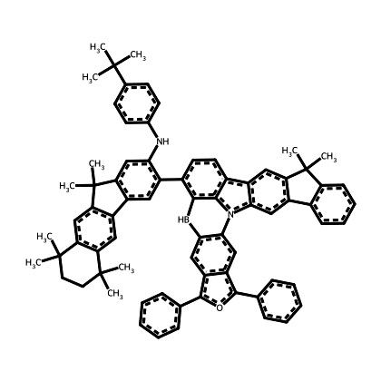 CC(C)(C)c1ccc(Nc2cc3c(cc2-c2ccc4c5cc6c(cc5n5c4c2Bc2cc4c(-c7ccccc7)oc(-c7ccccc7)c4cc2-5)-c2ccccc2C6(C)C)-c2cc4c(cc2C3(C)C)C(C)(C)CCC4(C)C)cc1